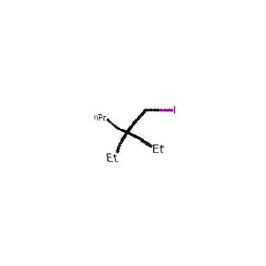 CCCC(CC)(CC)CI